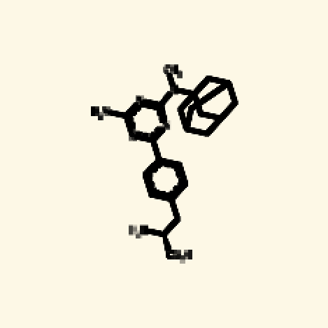 CN(c1nc(N)nc(-c2ccc(C[C@H](N)C(=O)O)cc2)n1)C12CC3CC(CC(C3)C1)C2